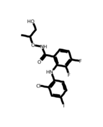 CC(CO)ONC(=O)c1ccc(F)c(F)c1Nc1ccc(I)cc1Cl